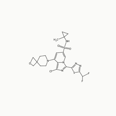 CC1(NS(=O)(=O)c2cc(N3CCC4(CC3)COC4)c3c(Cl)nc(-c4nnc(C(F)F)s4)n3c2)CC1